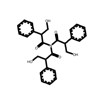 O=C(C(CO)c1ccccc1)N(C(=O)C(CO)c1ccccc1)C(=O)C(CO)c1ccccc1